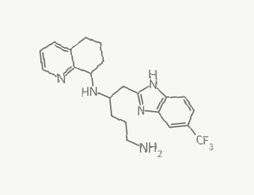 NCCCC(Cc1nc2cc(C(F)(F)F)ccc2[nH]1)NC1CCCc2cccnc21